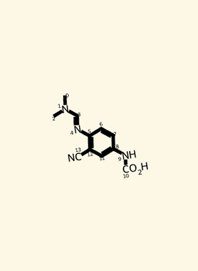 CN(C)C=Nc1ccc(NC(=O)O)cc1C#N